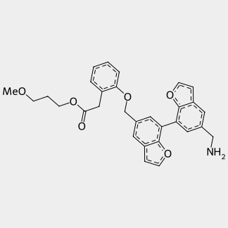 COCCCOC(=O)Cc1ccccc1OCc1cc(-c2cc(CN)cc3ccoc23)c2occc2c1